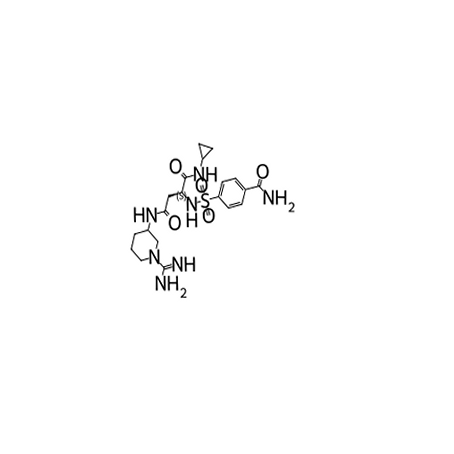 N=C(N)N1CCCC(NC(=O)C[C@H](NS(=O)(=O)c2ccc(C(N)=O)cc2)C(=O)NC2CC2)C1